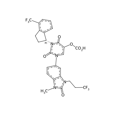 Cn1c(=O)n(CCC(F)(F)F)c2cc(-n3cc(OC(=O)O)c(=O)n([C@@H]4CCc5c4cccc5C(F)(F)F)c3=O)ccc21